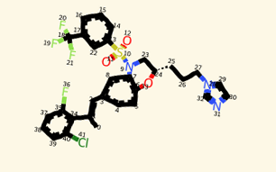 C/C(=C\c1ccc2c(c1)N(S(=O)(=O)c1cccc(C(F)(F)F)c1)C[C@H](CCCn1ccnc1)O2)c1c(F)cccc1Cl